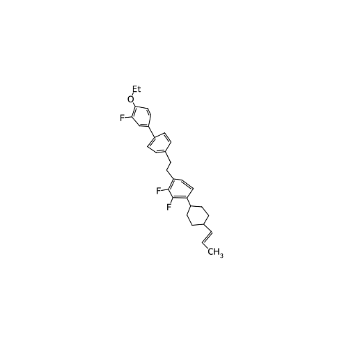 C/C=C/C1CCC(c2ccc(CCc3ccc(-c4ccc(OCC)c(F)c4)cc3)c(F)c2F)CC1